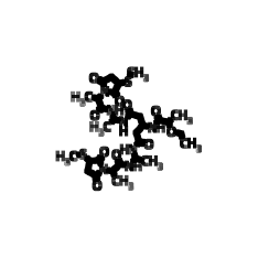 CCOC(C)C(=O)NC(CC(=O)NC(C)NC(=O)C(C)N1C(=O)CC(SC)C1=O)CC(=O)NC(C)NC(=O)C(C)N1C(=O)CC(SC)C1=O